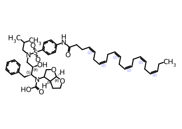 CC/C=C\C/C=C\C/C=C\C/C=C\C/C=C\C/C=C\CCC(=O)Nc1ccc(S(=O)(=O)N(CC(C)C)C[C@@H](O)[C@H](Cc2ccccc2)N(C(=O)O)C2CO[C@H]3OCC[C@@H]23)cc1